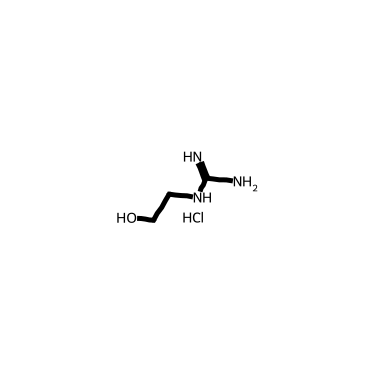 Cl.N=C(N)NCCO